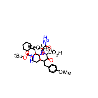 COc1ccc(CC(C[C@H](O[Si](C)(C)C(C)(C)C)[C@H](CC2CCCCC2)NC(=O)OC(C)(C)C)C(=O)C(C(=O)O)N(C2CCCCC2)[C@H](OC)C(N)=O)cc1